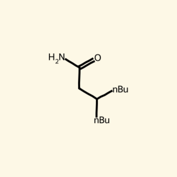 CCCCC(CCCC)CC(N)=O